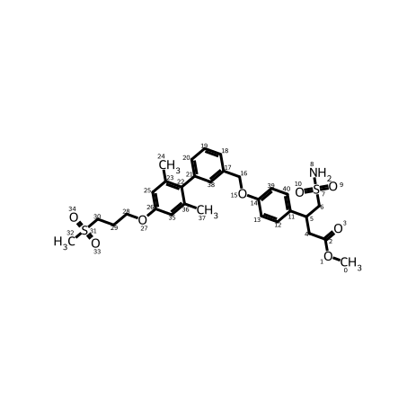 COC(=O)CC(CS(N)(=O)=O)c1ccc(OCc2cccc(-c3c(C)cc(OCCCS(C)(=O)=O)cc3C)c2)cc1